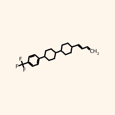 C=CC=CC1CCC(C2CCC(c3ccc(C(F)(F)F)cc3)CC2)CC1